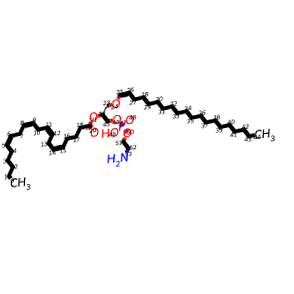 CCCCC/C=C\C/C=C\C/C=C\C/C=C\CCCC(=O)O[C@H](CO/C=C\CCCCCCCCCCCCCCCCCC)COP(=O)(O)OCCN